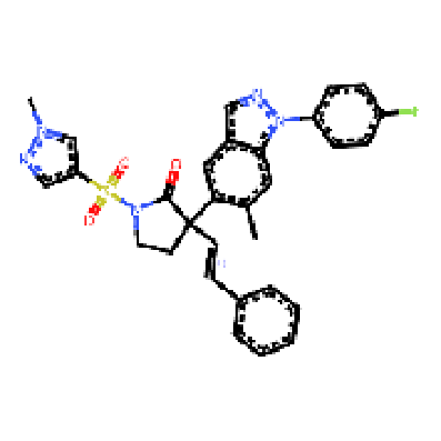 Cc1cc2c(cnn2-c2ccc(F)cc2)cc1C1(/C=C/c2ccccc2)CCN(S(=O)(=O)c2cnn(C)c2)C1=O